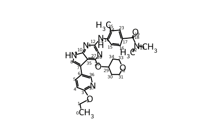 CCOc1ccc(-c2c[nH]c3nc(Nc4ccc(C(=O)N(C)C)cc4C)nc(OC4CCOCC4)c23)cn1